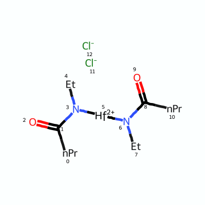 CCCC(=O)[N](CC)[Hf+2][N](CC)C(=O)CCC.[Cl-].[Cl-]